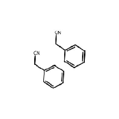 N#CCc1ccccc1.N#CCc1ccccc1